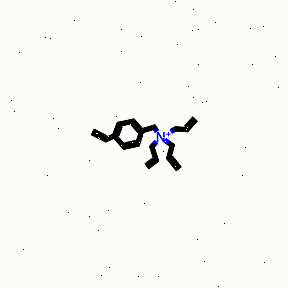 C=CC[N+](CC=C)(CC=C)Cc1ccc(C=C)cc1